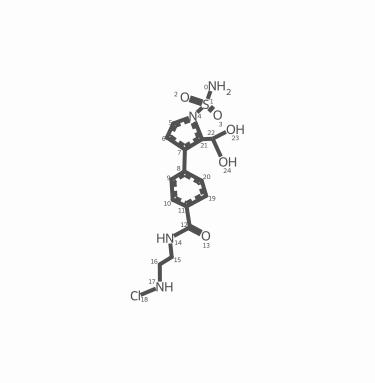 NS(=O)(=O)n1ccc(-c2ccc(C(=O)NCCNCl)cc2)c1C(O)O